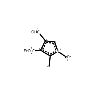 CCCn1cc(C=O)c(C(=O)OCC)c1C